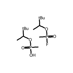 CC(OP(C)(=O)F)C(C)(C)C.CC(OP(C)(=O)O)C(C)(C)C